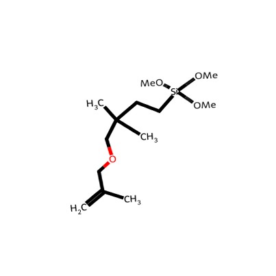 C=C(C)COCC(C)(C)CC[Si](OC)(OC)OC